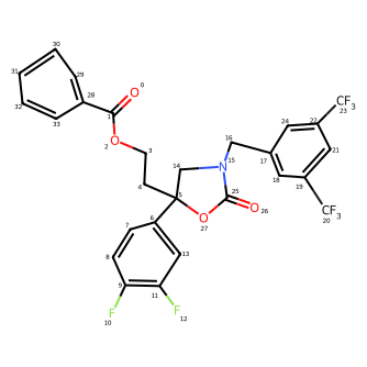 O=C(OCCC1(c2ccc(F)c(F)c2)CN(Cc2cc(C(F)(F)F)cc(C(F)(F)F)c2)C(=O)O1)c1ccccc1